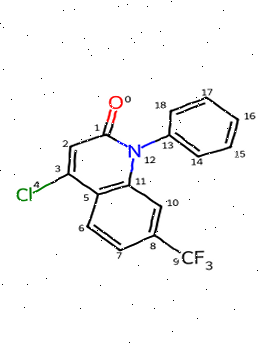 O=c1cc(Cl)c2ccc(C(F)(F)F)cc2n1-c1ccccc1